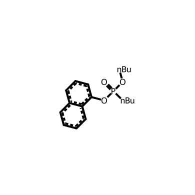 CCCCOP(=O)(CCCC)Oc1cccc2ccccc12